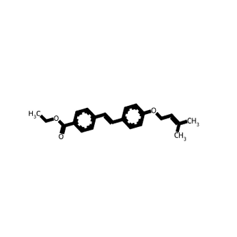 CCOC(=O)c1ccc(C=Cc2ccc(OCC=C(C)C)cc2)cc1